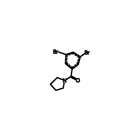 O=C(c1cc(Br)cc(Br)c1)N1CCCC1